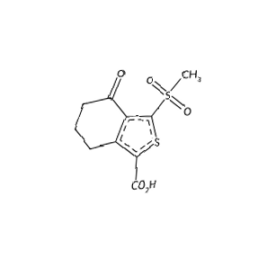 CS(=O)(=O)c1sc(C(=O)O)c2c1C(=O)CCC2